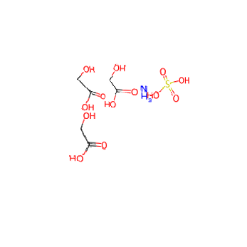 N.O=C(O)CO.O=C(O)CO.O=C(O)CO.O=S(=O)(O)O